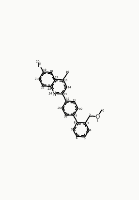 COCc1ccccc1-c1ccc(-c2cc(C)c3cc(F)ccc3n2)cc1